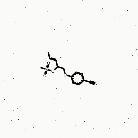 CC=CC(COc1ccc(C#N)cc1)OS(C)(=O)=O